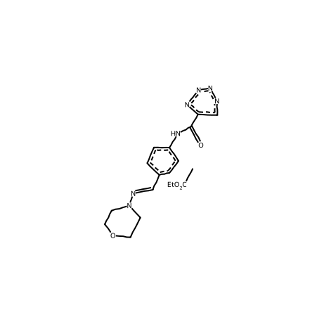 CCOC(C)=O.O=C(Nc1ccc(C=NN2CCOCC2)cc1)c1cnnnn1